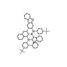 CC(C)(C)c1ccc(N2B3c4c(cc5ccccc5c4N(c4ccc(C(C)(C)C)cc4-c4ccccc4)c4oc5ccccc5c43)-c3cc4c(cc32)oc2ccccc24)cc1